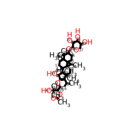 CC(=O)O[C@@H]([C@H]1C[C@@H](C)C2=C(O1)[C@H](O)[C@@]1(C)[C@@H]3CC[C@H]4C(C)(C)[C@@H](O[C@@H]5OC[C@@H](O)[C@H](O)[C@H]5O)CCC45[C@@H](C)[C@@]35CC[C@]21C)C(C)(C)O